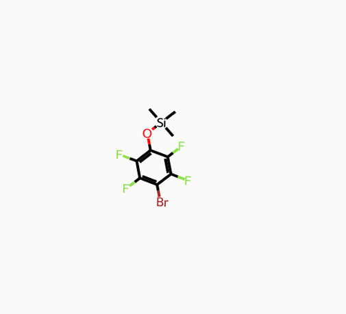 C[Si](C)(C)Oc1c(F)c(F)c(Br)c(F)c1F